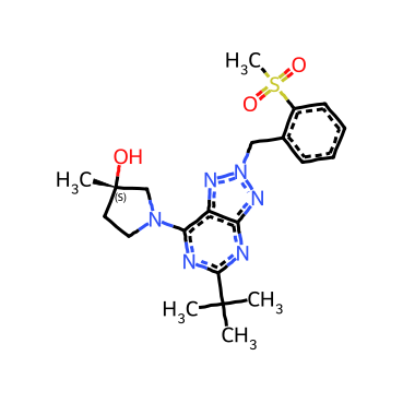 CC(C)(C)c1nc(N2CC[C@](C)(O)C2)c2nn(Cc3ccccc3S(C)(=O)=O)nc2n1